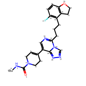 CC(C)(C)NC(=O)N1CC=C(c2cnc(CCCc3c(F)ccc4c3CCO4)n3cnnc23)CC1